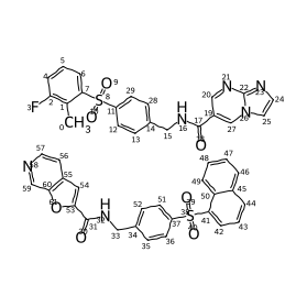 Cc1c(F)cccc1S(=O)(=O)c1ccc(CNC(=O)c2cnc3nccn3c2)cc1.O=C(NCc1ccc(S(=O)(=O)c2cccc3ccccc23)cc1)c1cc2ccncc2o1